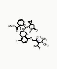 COC(=O)[C@@]1(C)CC=CC[C@H]1C(=O)N1CCc2c(Cl)ccc(OC/C(N)=C(\C(F)F)N(C)N)c2[C@H]1CN1CC2(CC2)CC1=O